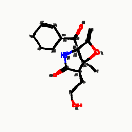 C=C1O[C@@]2(C)[C@@H](CCO)C(=O)N[C@@]12C(=O)[C@@H]1C=CCCC1